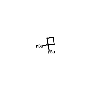 CCCCC1(CCCC)CCC1